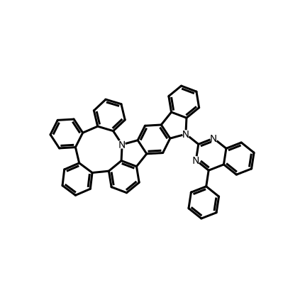 c1ccc(-c2nc(-n3c4ccccc4c4cc5c(cc43)c3cccc4c6ccccc6c6ccccc6c6ccccc6n5c43)nc3ccccc23)cc1